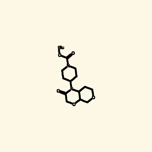 CC(C)(C)OC(=O)N1CCC(N2C(=O)COC3COCCC32)CC1